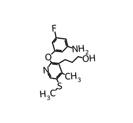 CSc1cnc(Oc2cc(N)cc(F)c2)c(CCCO)c1C